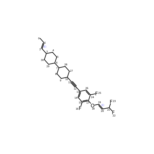 C/C=C/C1CCC(C2CCC(C#Cc3cc(F)c(O/C=C/C(F)F)c(F)c3)CC2)CC1